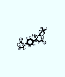 CC(C)(C)OC(=O)NC(CC=O)c1ccc(N2CCOC2=O)cc1